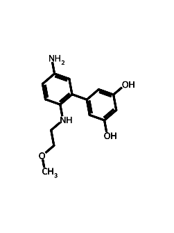 COCCNc1ccc(N)cc1-c1cc(O)cc(O)c1